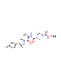 CC(C)[C@@H](NC(=O)C1CCN(C(=O)OC(C)(C)C)CC1)C(=O)N1CCC(c2ccc(Cl)cc2)C(C)(C)C1